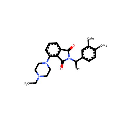 [CH2]CCC(c1ccc(OC)c(OC)c1)N1C(=O)c2cccc(N3CCN(CC(F)(F)F)CC3)c2C1=O